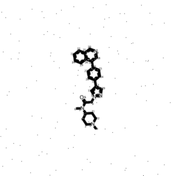 CN1CCC(N(C)C(=O)Cn2cc(-c3ccc(-c4cncc5ccccc45)cc3)cn2)CC1